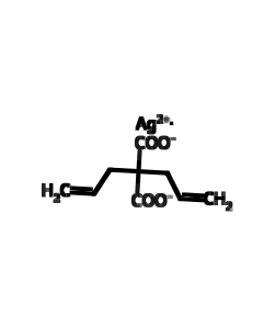 C=CCC(CC=C)(C(=O)[O-])C(=O)[O-].[Ag+2]